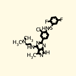 Cc1n[nH]c2nc(-c3ccc(NSc4cc(F)ccc4F)c(Cl)c3)nc(NCCN(C)C)c12